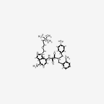 Cc1cccnc1CN(Cc1ccccc1)C(=O)C(=O)Nc1cnc(N)c2cnn(COCC[Si](C)(C)C)c12.[Cu]